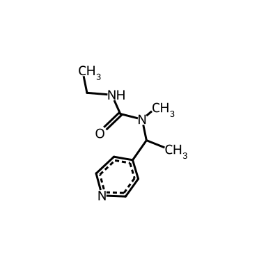 CCNC(=O)N(C)C(C)c1ccncc1